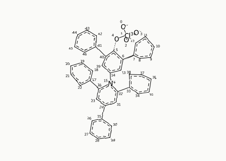 [O-][Cl+3]([O-])([O-])Oc1c(-c2ccccc2)cc(-[n+]2c(-c3ccccc3)cc(-c3ccccc3)cc2-c2ccccc2)cc1-c1ccccc1